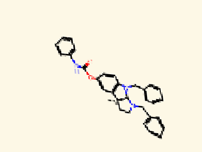 C[C@@]12CCN(Cc3ccccc3)C1N(Cc1ccccc1)c1ccc(OC(=O)Nc3ccccc3)cc12